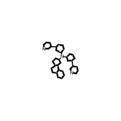 c1cncc(-c2cccc(N(c3cccc(-c4cccnc4)c3)c3ccc4ccc5ccccc5c4c3)c2)c1